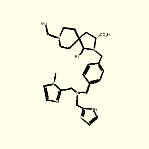 CCC1N(Cc2ccc(CN(Cc3ncc[nH]3)Cc3nccn3C)cc2)[C@@H](C(=O)O)CC12CCN(CC(C)(C)C)CC2